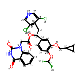 O=C(Cn1c(=O)[nH]c(=O)c2ccccc21)O[C@@H](Cc1c(Cl)cncc1Cl)c1ccc(OC(F)F)c(OCC2CC2)c1